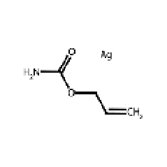 C=CCOC(N)=O.[Ag]